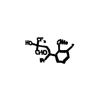 COc1c(F)cccc1C(CC(O)(C=O)C(F)(F)F)C(C)C